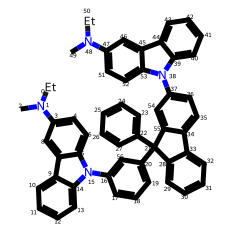 CCN(C)c1ccc2c(c1)c1ccccc1n2-c1cccc(C2(c3ccccc3)c3ccccc3-c3ccc(-n4c5ccccc5c5cc(N(C)CC)ccc54)cc32)c1